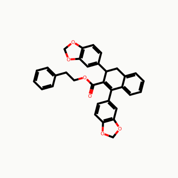 O=C(OCCc1ccccc1)C1=C(c2ccc3c(c2)OCO3)c2ccccc2CC1c1ccc2c(c1)OCO2